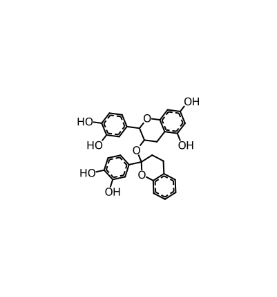 Oc1cc(O)c2c(c1)OC(c1ccc(O)c(O)c1)C(OC1(c3ccc(O)c(O)c3)CCc3ccccc3O1)C2